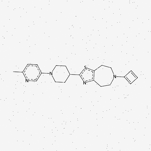 Cc1ccc(N2CCC(c3nc4c(s3)CCN(C3=CC=C3)CC4)CC2)cn1